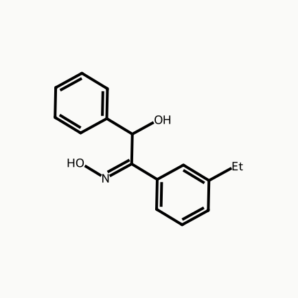 CCc1cccc(C(=NO)C(O)c2ccccc2)c1